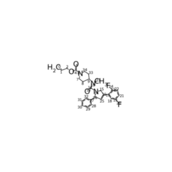 C=CCOC(=O)N1CCC(N(C)C(=O)N2CC(c3cc(F)ccc3F)=C[C@H]2c2ccccc2)CC1